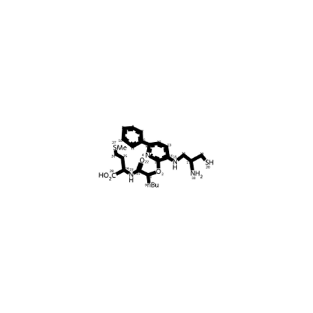 CCCCC(Oc1nc(-c2ccccc2)ccc1NCC(N)CS)C(=O)NC(CCSC)C(=O)O